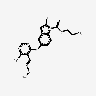 CCCNC(=O)n1c(C)cc2cc(Oc3ncnc(N)c3C=NOC)ccc21